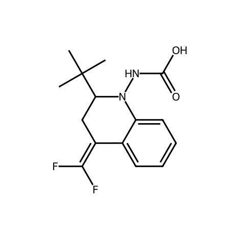 CC(C)(C)C1CC(=C(F)F)c2ccccc2N1NC(=O)O